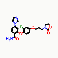 NC(=O)c1ccc(-n2ccnc2)cc1Oc1ccc(OCCCN2CCOC2=O)cc1F